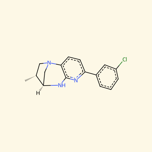 C[C@@H]1CN2C[C@H]1Nc1nc(-c3cccc(Cl)c3)ccc12